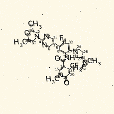 C[C@@H]1CN(c2ncc(-c3cc(NC(=O)c4cn(C)c(=O)cc4C(F)(F)F)c(N4CC[C@H](N(C)C)C4)cc3F)cn2)C[C@H](C)O1